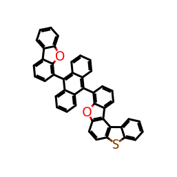 c1ccc2c(c1)oc1c(-c3c4ccccc4c(-c4cccc5c4oc4ccc6sc7ccccc7c6c45)c4ccccc34)cccc12